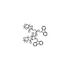 CC1(C)OCC(C)(C)C(C(=O)NC[C@@H](CC2c3ccccc3-c3ccccc32)C(=O)O)O1.CC1(C)OCC(C)(C)[C@H](C(=O)NCCC(=O)OCC2c3ccccc3-c3ccccc32)O1